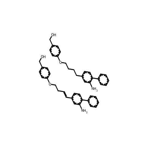 Nc1cc(/C=C/CCOc2ccc(CO)cc2)ccc1-c1ccccc1.Nc1cc(CCCCOc2ccc(CO)cc2)ccc1-c1ccccc1